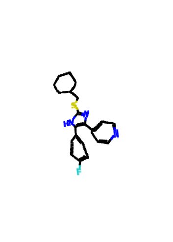 Fc1ccc(-c2[nH]c(SCC3CCCCC3)nc2-c2ccncc2)cc1